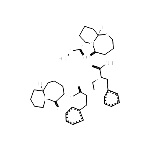 COC(=O)[C@@H]1CCC[C@@H]2SCC[C@H](NC(=O)[C@H](CC[C@H](Cc3ccccc3)C(=O)N[C@H]3CCC[C@H]4CCCCN4C3=O)Cc3ccccc3)C(=O)N21